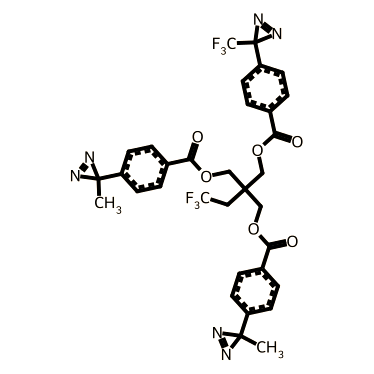 CC1(c2ccc(C(=O)OCC(COC(=O)c3ccc(C4(C)N=N4)cc3)(COC(=O)c3ccc(C4(C(F)(F)F)N=N4)cc3)CC(F)(F)F)cc2)N=N1